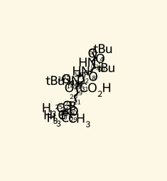 CC[C@H](C)[C@H](NC(=O)OC(C)(C)C)C(=O)N[C@H]1CN(C(=O)OC(C)(C)C)[C@@](CCCCB2OC(C)(C)C(C)(C)O2)(C(=O)O)C1